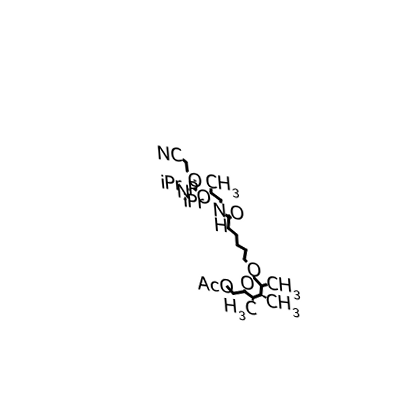 CC(=O)OCC1O[C@@H](OCCCCCC(=O)NCC(C)OP(OCCC#N)N(C(C)C)C(C)C)C(C)[C@@H](C)[C@H]1C